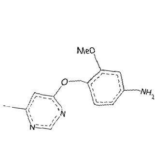 COc1cc(N)ccc1Oc1cc(C)ncn1